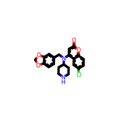 O=c1cc(N(Cc2ccc3c(c2)OCO3)C2CCNCC2)c2cc(Cl)ccc2o1